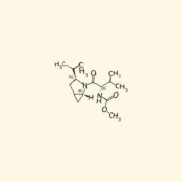 COC(=O)N[C@H](C(=O)N1[C@@H]2CC2C[C@H]1C(C)C)C(C)C